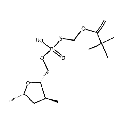 C=C(OCSP(=O)(O)OC[C@H]1O[C@@H](C)C[C@@H]1C)C(C)(C)C